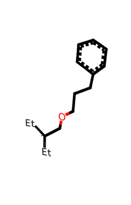 CC[C](CC)COCCCc1ccccc1